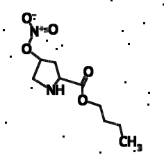 CCCCOC(=O)C1CC(O[N+](=O)[O-])CN1